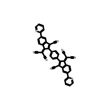 N#CC(C#N)=C1C(c2ccc(C3=C(C#N)c4cc(-c5ccccn5)ccc4C3=C(C#N)C#N)cc2)=C(C#N)c2cc(-c3ccccn3)ccc21